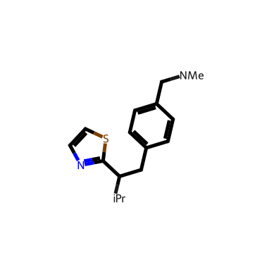 CNCc1ccc(CC(c2nccs2)C(C)C)cc1